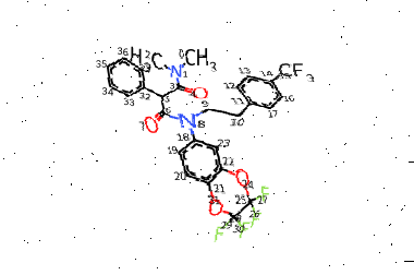 CN(C)C(=O)C(C(=O)N(CCc1ccc(C(F)(F)F)cc1)c1ccc2c(c1)OC(F)(F)C(F)(F)O2)c1ccccc1